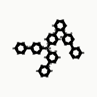 c1ccc(-c2ccc(-c3ccccc3-c3ccc(N(c4ccc(-c5ccccc5)cc4)c4cccc(-c5ccccc5)c4)cc3)cc2)cc1